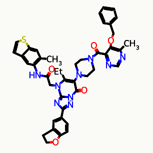 CCc1c(N2CCN(C(=O)c3ncnc(C)c3OCc3ccccc3)CC2)c(=O)n2nc(-c3ccc4c(c3)CCO4)nc2n1CC(=O)Nc1cc2ccsc2cc1C